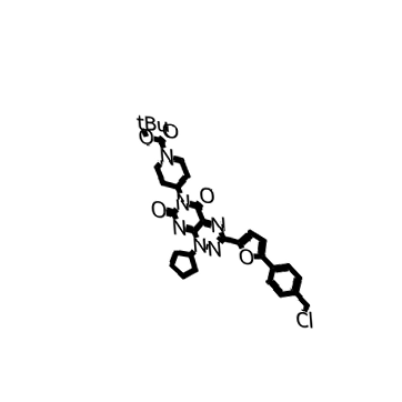 CC(C)(C)OC(=O)N1CCC(n2c(=O)nc3n(C4CCCC4)nc(-c4ccc(-c5ccc(CCl)cc5)o4)nc-3c2=O)CC1